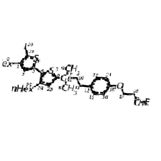 CCCCCCc1cc(-c2s[c]([Ge]([CH3])([CH3])[CH2]Cc3ccc(OCCOCC)cc3)cc2CCCCCC)sc1I